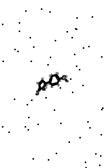 COc1ccc(C2=NC(=O)C=C2)cc1